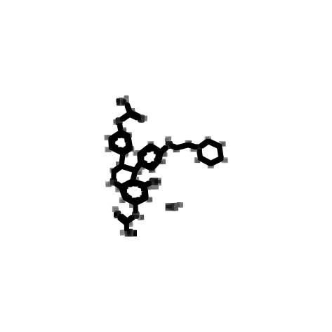 CC(C)(C)C(=O)Oc1ccc(C2COc3cc(OC(=O)C(C)(C)C)cc(O)c3C2c2ccc(OCCN3CCCCC3)cc2)cc1.Cl